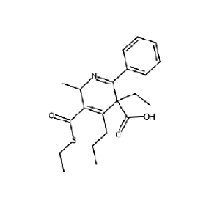 CCCC1=C(C(=O)SCC)C(C)N=C(c2ccccc2)C1(CC)C(=O)O